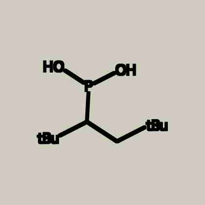 CC(C)(C)CC(P(O)O)C(C)(C)C